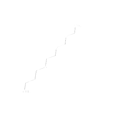 CCCCOCCOCOCC